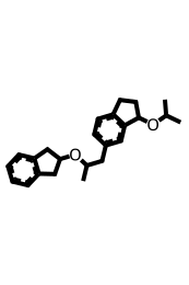 CC(C)OC1CCc2ccc(CC(C)OC3Cc4ccccc4C3)cc21